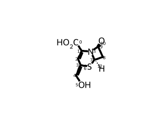 O=C(O)C1=C/C(=C/O)S[C@@H]2CC(=O)N12